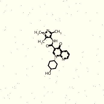 Cc1nn(C)c(C)c1NC(=O)c1cn([C@H]2CC[C@H](O)CC2)c2ncccc2c1=O